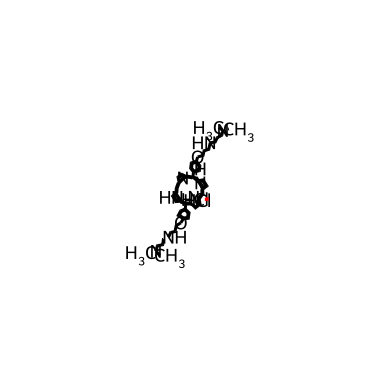 CN(C)CCCNCCCOc1ccc(-c2c3nc(cc4ccc([nH]4)c(-c4ccc(OCCCNCCCN(C)C)cc4)c4nc(cc5ccc2[nH]5)C=C4)C=C3)cc1.Cl.Cl